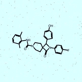 Cc1cccc(C)c1NC(=O)N1CCC2(CC1)C(=O)N(c1ccc(F)cc1)C2c1ccc(O)cc1